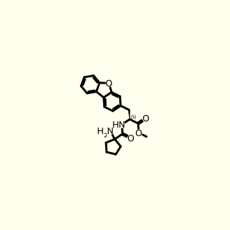 COC(=O)[C@H](Cc1ccc2c(c1)oc1ccccc12)NC(=O)C1(N)CCCC1